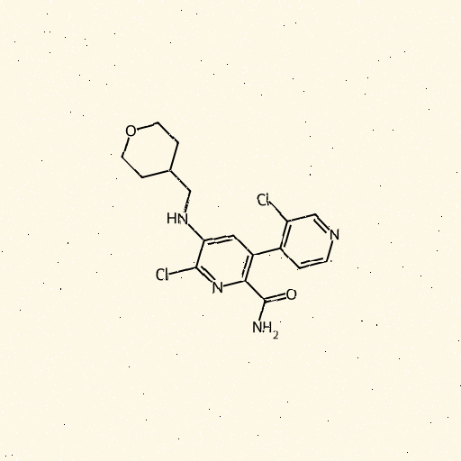 NC(=O)c1nc(Cl)c(NCC2CCOCC2)cc1-c1c[c]ncc1Cl